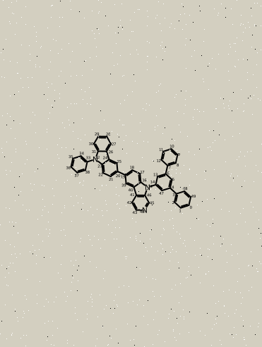 c1ccc(-c2cc(-c3ccccc3)cc(-n3c4ccc(-c5ccc6c(c5)c5ccccc5n6-c5ccccc5)cc4c4ccncc43)c2)cc1